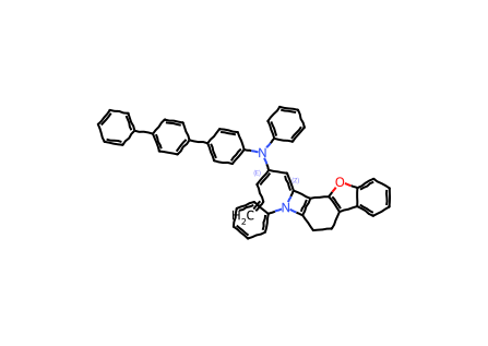 C=C/C=C(\C=C1\C2=C(CCc3c2oc2ccccc32)N1c1ccccc1)N(c1ccccc1)c1ccc(-c2ccc(-c3ccccc3)cc2)cc1